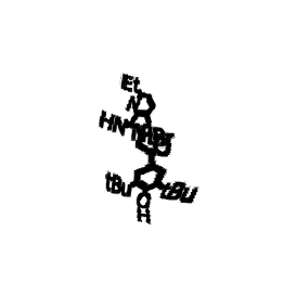 Br.CCc1ccc2c(n1)C(=N)N(CC(=O)c1cc(C(C)(C)C)c(O)c(C(C)(C)C)c1)C2